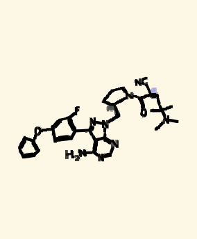 CN(C)C(C)(C)/C=C(/C#N)C(=O)N1CCC[C@@H]1Cn1nc(-c2ccc(Oc3ccccc3)cc2F)c2c(N)ncnc21